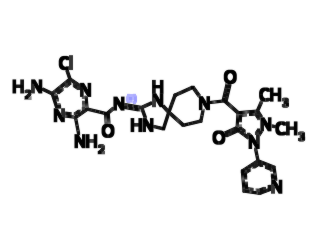 Cc1c(C(=O)N2CCC3(CC2)CN/C(=N\C(=O)c2nc(Cl)c(N)nc2N)N3)c(=O)n(-c2cccnc2)n1C